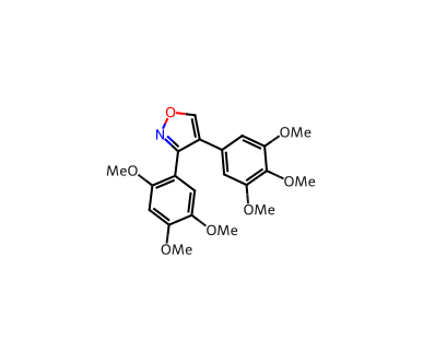 COc1cc(OC)c(-c2nocc2-c2cc(OC)c(OC)c(OC)c2)cc1OC